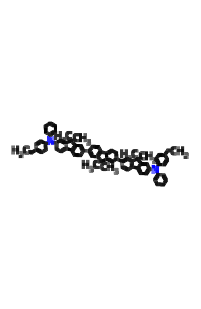 C=Cc1ccc(N(c2ccccc2)c2ccc3c(c2)C(C)(C)c2cc(-c4ccc5c(c4)C(C)(C)c4cc(-c6ccc7c(c6)C(C)(C)c6cc(N(c8ccccc8)c8ccc(C=C)cc8)ccc6-7)ccc4-5)ccc2-3)cc1